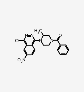 CC1CN(C(=O)c2ccccc2)CCN1c1nnc(Cl)c2cc([N+](=O)[O-])ccc12